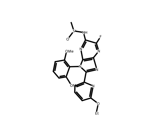 CCOc1cccc(-c2nc3nc(F)c(N[S+](C)[O-])nc3n2-c2c(OC)cccc2OC)n1